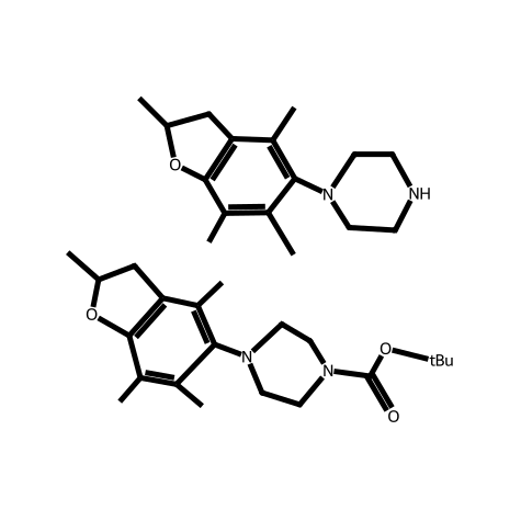 Cc1c(C)c(N2CCN(C(=O)OC(C)(C)C)CC2)c(C)c2c1OC(C)C2.Cc1c(C)c(N2CCNCC2)c(C)c2c1OC(C)C2